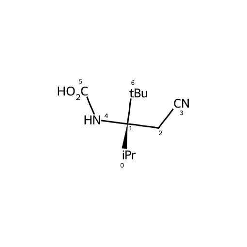 CC(C)[C@@](CC#N)(NC(=O)O)C(C)(C)C